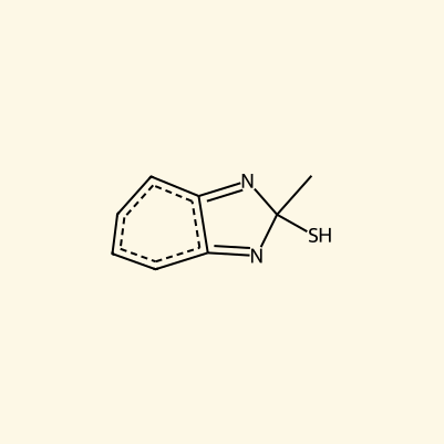 CC1(S)N=c2ccccc2=N1